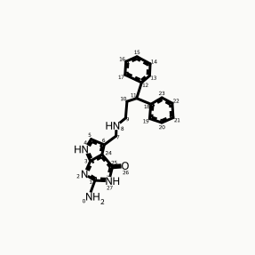 Nc1nc2[nH]cc(CNCCC(c3ccccc3)c3ccccc3)c2c(=O)[nH]1